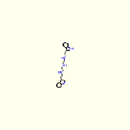 c1ccc2c(CCNCCNCCNCCc3c[nH]c4ccccc34)c[nH]c2c1